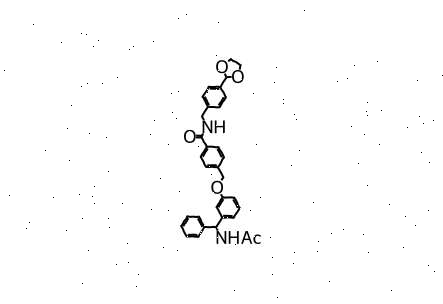 CC(=O)N[C@@H](c1ccccc1)c1cccc(OCc2ccc(C(=O)NCc3ccc(C4OCCO4)cc3)cc2)c1